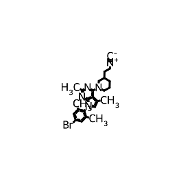 [C-]#[N+]CCC1CCCN(c2nc(C)nc3c2c(C)cn3-c2c(C)cc(Br)cc2C)C1